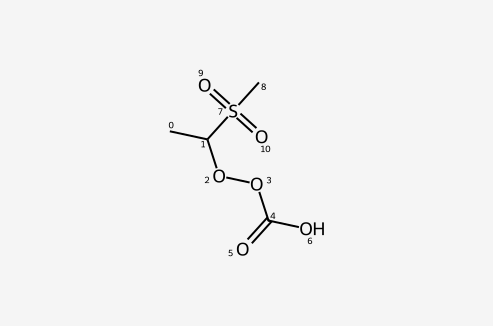 CC(OOC(=O)O)S(C)(=O)=O